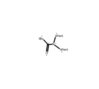 CCCCCN(CCCCC)C(=O)C(C)(C)C